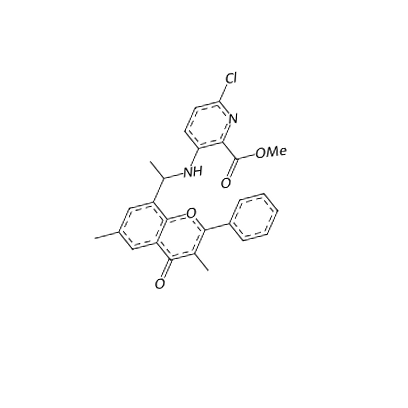 COC(=O)c1nc(Cl)ccc1NC(C)c1cc(C)cc2c(=O)c(C)c(-c3ccccc3)oc12